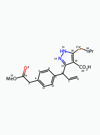 C=CC(c1ccc(CC(=O)OC)cc1)c1n[nH]c(SCCC)c1C(=O)O